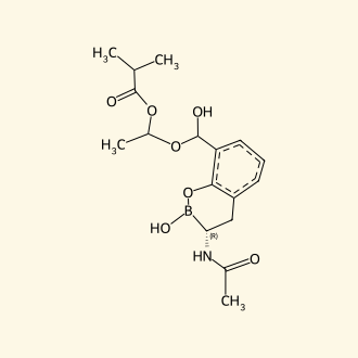 CC(=O)N[C@H]1Cc2cccc(C(O)OC(C)OC(=O)C(C)C)c2OB1O